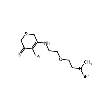 CCCN(C)CCOCCNC1=C(C(C)C)C(=S)CSC1